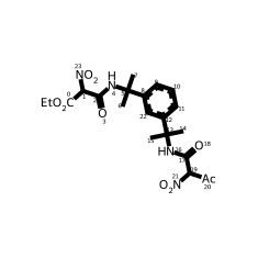 CCOC(=O)C(C(=O)NC(C)(C)c1cccc(C(C)(C)NC(=O)C(C(C)=O)[N+](=O)[O-])c1)[N+](=O)[O-]